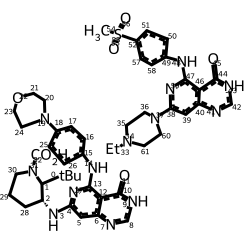 CC(C)(C)C1[C@H](Nc2cc3nc[nH]c(=O)c3c(Nc3ccc(N4CCOCC4)cc3)n2)CCCN1C(=O)O.CCN1CCN(c2cc3nc[nH]c(=O)c3c(Nc3ccc(S(C)(=O)=O)cc3)n2)CC1